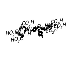 O=C(O)CC[C@@H](NC(=O)N[C@H](CCCCN(Cc1ccc(I)cc1)C(=O)c1ccc(CNCCN2CCN(CC(=O)O)CCN(CC(=O)O)CCN(CC(=O)O)CC2)cc1)C(=O)O)C(=O)O